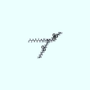 CCCCCCCCCCCCCCN(CCCCCC(=O)OCCCCCCC)CCC1CCN(C(=O)OCCCC)C1